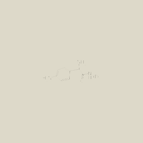 CC(C)(C)NC(=O)C(N)c1ccc(N)cc1